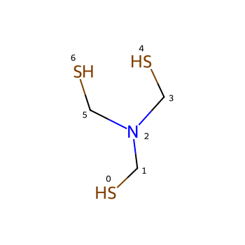 SCN(CS)CS